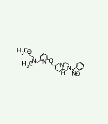 COCCN(C)Cc1cccc(OC[C@H]2CC[C@H]3CN(c4noc5ccccc45)CCN3C2)n1